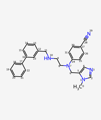 Cn1cncc1CN(CCNCc1cccc(-c2ccccc2)c1)c1ccc(C#N)cc1